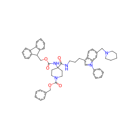 O=C(NC1(C(=O)NCCCc2cn(-c3ccccc3)c3cc(CN4CCCCC4)ccc23)CCN(C(=O)OCc2ccccc2)CC1)OCC1c2ccccc2-c2ccccc21